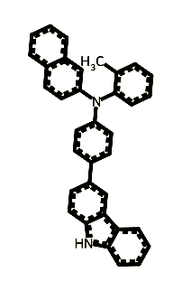 Cc1ccccc1N(c1ccc(-c2ccc3[nH]c4ccccc4c3c2)cc1)c1ccc2ccccc2c1